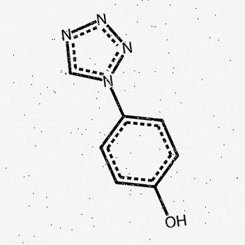 Oc1ccc(-n2[c]nnn2)cc1